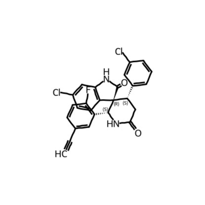 C#Cc1ccc(F)c([C@H]2NC(=O)C[C@@H](c3cccc(Cl)c3)[C@]23C(=O)Nc2cc(Cl)ccc23)c1